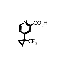 O=C(O)c1cc(C2(C(F)(F)F)CC2)ccn1